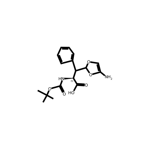 CC(C)(C)OC(=O)N[C@H](C(=O)O)C(c1ccccc1)C1OC=C(N)O1